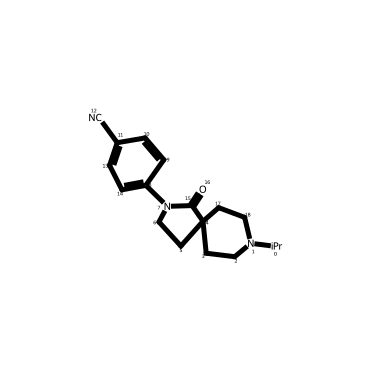 CC(C)N1CCC2(CCN(c3ccc(C#N)cc3)C2=O)CC1